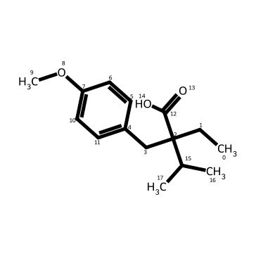 CCC(Cc1ccc(OC)cc1)(C(=O)O)C(C)C